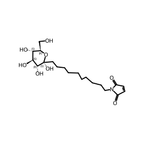 O=C1C=CC(=O)N1CCCCCCCCCC[C@]1(O)O[C@H](CO)[C@@H](O)[C@H](O)[C@H]1O